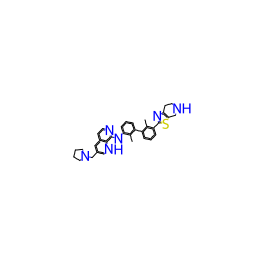 Cc1c(Nc2nccc3cc(CN4CCCC4)cnc23)cccc1-c1cccc(-c2nc3c(s2)CNCC3)c1C